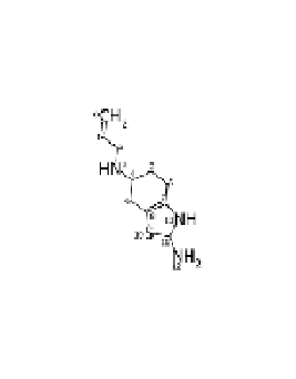 C=CCNC1CCC2=C(C1)SC(N)N2